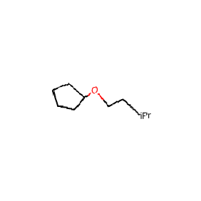 CC(C)CCOC1CCCC1